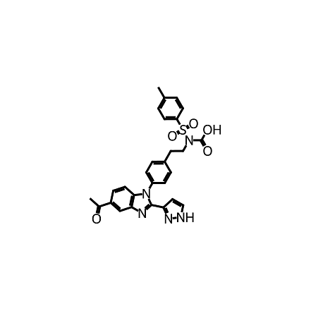 CC(=O)c1ccc2c(c1)nc(-c1cc[nH]n1)n2-c1ccc(CCN(C(=O)O)S(=O)(=O)c2ccc(C)cc2)cc1